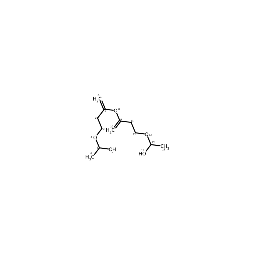 C=C(CCOC(C)O)OC(=C)CCOC(C)O